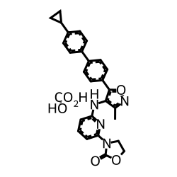 Cc1noc(-c2ccc(-c3ccc(C4CC4)cc3)cc2)c1Nc1cccc(N2CCOC2=O)n1.O=C(O)O